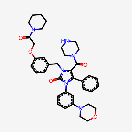 O=C(COc1cccc(Cn2c(C(=O)N3CCNCC3)c(-c3ccccc3)n(-c3cccc(N4CCOCC4)c3)c2=O)c1)N1CCCCC1